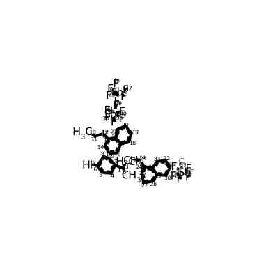 CC(C)c1ccc([IH+])cc1.CC[I+]c1cccc2ccccc12.C[I+]c1cccc2ccccc12.[F][Sb-]([F])([F])([F])([F])[F].[F][Sb-]([F])([F])([F])([F])[F].[F][Sb-]([F])([F])([F])([F])[F]